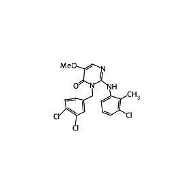 COc1cnc(Nc2cccc(Cl)c2C)n(Cc2ccc(Cl)c(Cl)c2)c1=O